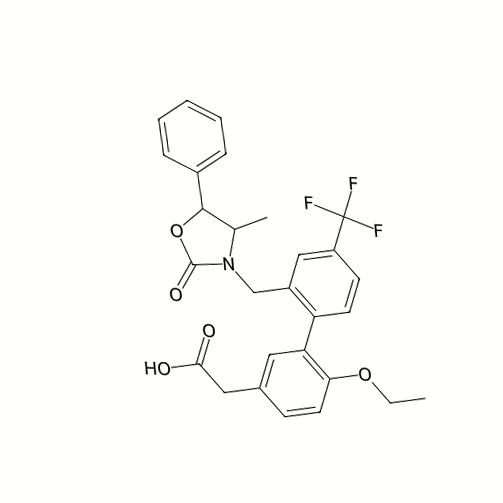 CCOc1ccc(CC(=O)O)cc1-c1ccc(C(F)(F)F)cc1CN1C(=O)OC(c2ccccc2)C1C